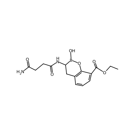 CCOC(=O)c1cccc2c1OB(O)C(NC(=O)CCC(N)=O)C2